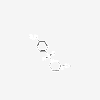 O=[N+]([O-])c1ccc(S(=O)(=O)N2CCC[C@H](O)C2)cc1